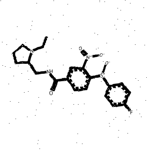 CCN1CCCC1CNC(=O)c1ccc([S+]([O-])c2ccc(F)cc2)c([N+](=O)[O-])c1